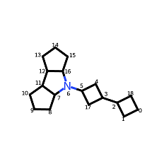 C1CC(C2CC(N3C4CCCC4C4CCCC43)C2)C1